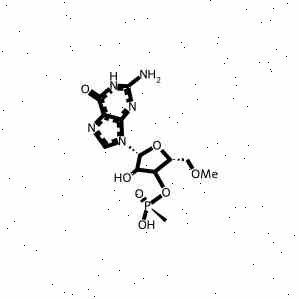 COC[C@H]1O[C@@H](n2cnc3c(=O)[nH]c(N)nc32)C(O)C1O[P@@](C)(=O)O